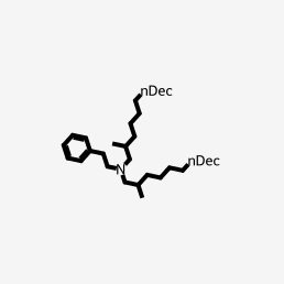 CCCCCCCCCCCCCCC(C)CN(CCc1ccccc1)CC(C)CCCCCCCCCCCCCC